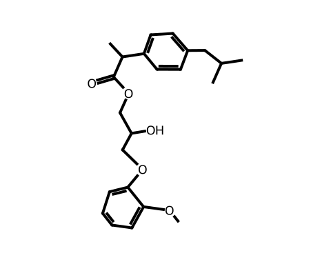 COc1ccccc1OCC(O)COC(=O)C(C)c1ccc(CC(C)C)cc1